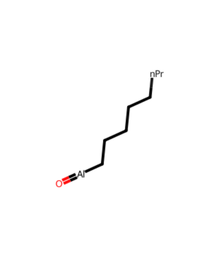 CCCCCCC[CH2][Al]=[O]